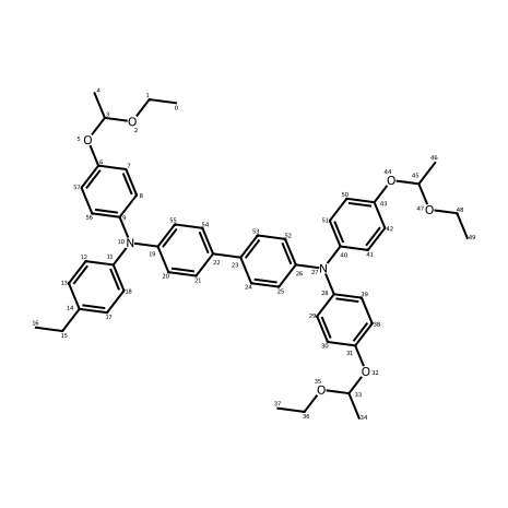 CCOC(C)Oc1ccc(N(c2ccc(CC)cc2)c2ccc(-c3ccc(N(c4ccc(OC(C)OCC)cc4)c4ccc(OC(C)OCC)cc4)cc3)cc2)cc1